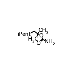 CCCC(C)CC(C)(C)OC(N)=O